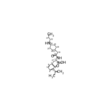 C=C(C)c1cccc2c1OB(O)[C@@H](NC(=O)CC1CCC(NCCC)CC1)C2